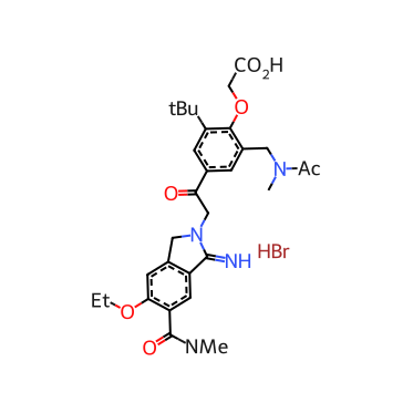 Br.CCOc1cc2c(cc1C(=O)NC)C(=N)N(CC(=O)c1cc(CN(C)C(C)=O)c(OCC(=O)O)c(C(C)(C)C)c1)C2